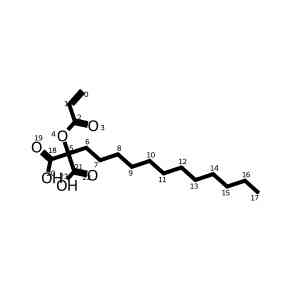 C=CC(=O)OC(CCCCCCCCCCCC)(C(=O)O)C(=O)O